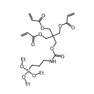 C=CC(=O)OCC(COC(=O)C=C)(COC(=O)C=C)COC(=O)NCCC[Si](OCC)(OCC)OCC